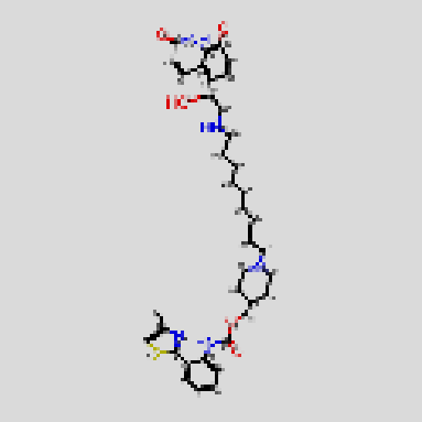 Cc1csc(-c2ccccc2NC(=O)OCC2CCN(CCCCCCCCCNCC(O)c3ccc(O)c4[nH]c(=O)ccc34)CC2)n1